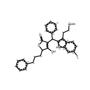 CC(=O)NCCc1c(C(C2=C(O)C(CCCc3ccccc3)OC2=O)c2ccccc2)[nH]c2cc(F)ccc12